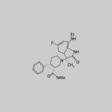 CCNC1=C2NC(=O)[C@@](C)(N3CC[C@@H](c4ccccc4)[C@@H](C(=O)NC)C3)C2CC(F)=C1